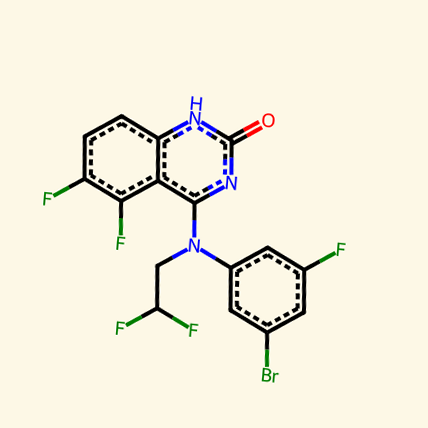 O=c1nc(N(CC(F)F)c2cc(F)cc(Br)c2)c2c(F)c(F)ccc2[nH]1